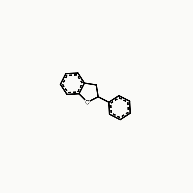 [c]1ccc(C2Cc3ccccc3O2)cc1